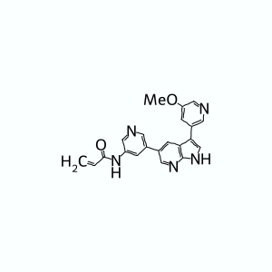 C=CC(=O)Nc1cncc(-c2cnc3[nH]cc(-c4cncc(OC)c4)c3c2)c1